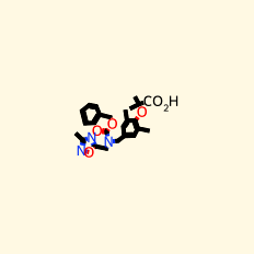 Cc1noc(CN(Cc2cc(C)c(OC(C)(C)C(=O)O)c(C)c2)C(=O)OCc2ccccc2)n1